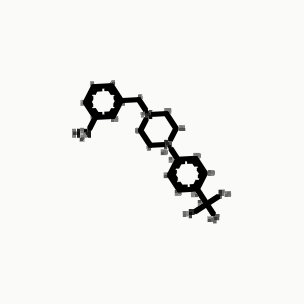 Nc1cccc(CN2CCN(c3ccc(C(F)(F)F)cc3)CC2)c1